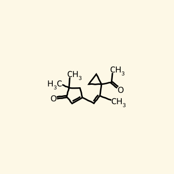 CC(=O)C1(/C(C)=C\C2=CC(=O)C(C)(C)C2)CC1